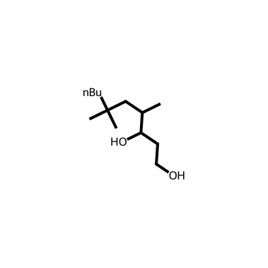 CCCCC(C)(C)CC(C)C(O)CCO